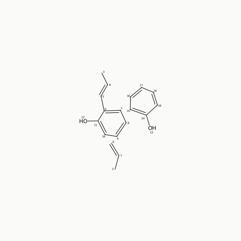 C=CC.CC=Cc1ccccc1O.Oc1ccccc1